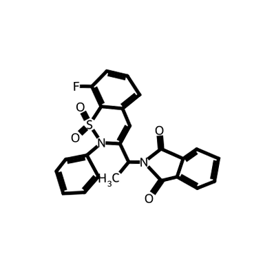 CC(C1=Cc2cccc(F)c2S(=O)(=O)N1c1ccccc1)N1C(=O)c2ccccc2C1=O